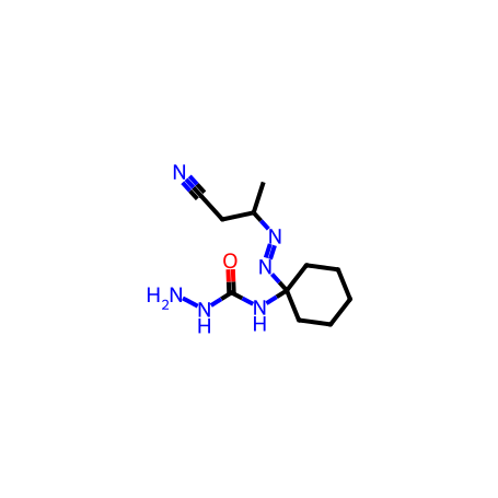 CC(CC#N)N=NC1(NC(=O)NN)CCCCC1